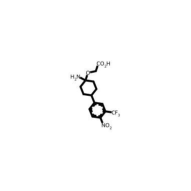 NC1(OCC(=O)O)CCC(c2ccc([N+](=O)[O-])c(C(F)(F)F)c2)CC1